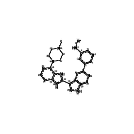 CC(C)Nc1cncc(-c2cc3c(-c4nc5c(N6CCN(C)CC6)nccc5[nH]4)n[nH]c3cn2)c1